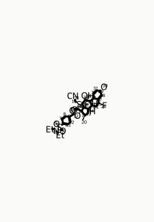 CCN(CC)S(=O)(=O)c1ccc(C(=O)O[C@@]2(C(=O)SCC#N)[C@H](C)C[C@H]3[C@@H]4C[C@H](F)C5=CC(=O)C=C[C@]5(C)[C@@]4(F)[C@@H](O)C[C@@]32C)cc1